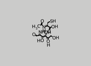 CC(=O)N[C@@H](CS)C(=O)O.N[C@@H](C=O)[C@@H](O)[C@H](O)[C@H](O)CO